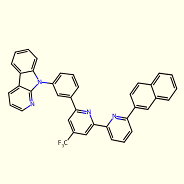 FC(F)(F)c1cc(-c2cccc(-n3c4ccccc4c4cccnc43)c2)nc(-c2cccc(-c3ccc4ccccc4c3)n2)c1